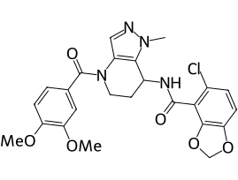 COc1ccc(C(=O)N2CCC(NC(=O)c3c(Cl)ccc4c3OCO4)c3c2cnn3C)cc1OC